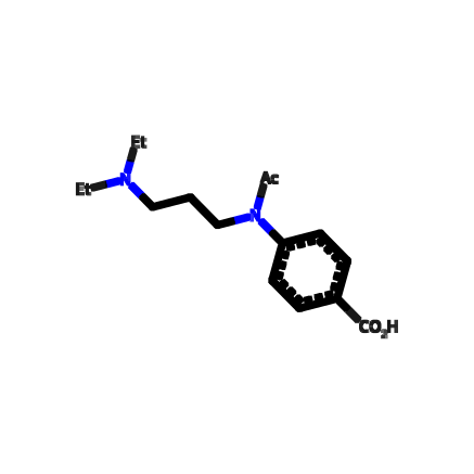 CCN(CC)CCCN(C(C)=O)c1ccc(C(=O)O)cc1